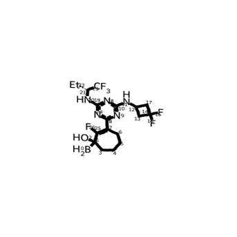 BC1(O)CCCCC(c2nc(NC3CC(F)(F)C3)nc(N[C@H](CC)C(F)(F)F)n2)=C1F